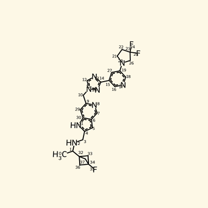 CC(NCc1cc2cnc(Cn3cnc(-c4cncc(N5CCC(F)(F)C5)c4)n3)cc2[nH]1)C12CC(F)(C1)C2